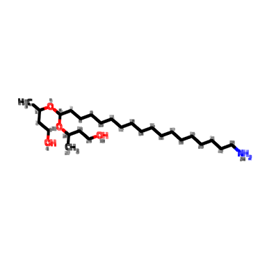 CC(CCO)OC(CCCCCCCCCCCCCCCCCN)OC(C)CCO